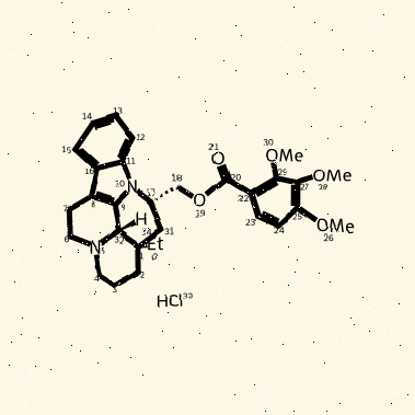 CC[C@]12CCCN3CCc4c(n(c5ccccc45)[C@H](COC(=O)c4ccc(OC)c(OC)c4OC)C1)[C@@H]32.Cl